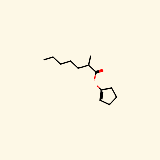 CCCCCC(C)C(=O)OC1=CCCC1